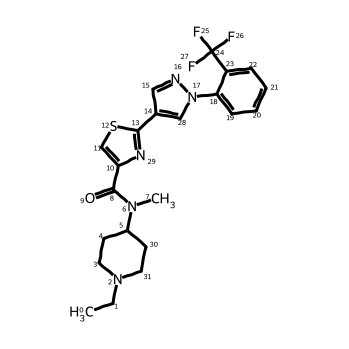 CCN1CCC(N(C)C(=O)c2csc(-c3cnn(-c4ccccc4C(F)(F)F)c3)n2)CC1